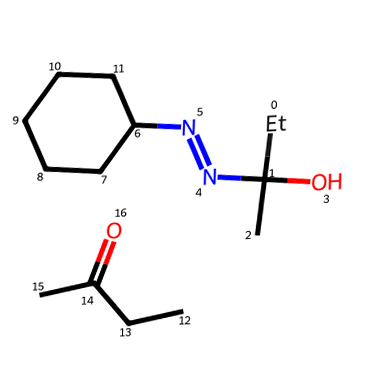 CCC(C)(O)/N=N/C1CCCCC1.CCC(C)=O